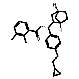 Cc1cccc(C(=O)C[C@@H](c2ccc(CCC3CC3)cc2)C2C[C@@H]3CC[C@H]2C3)c1C